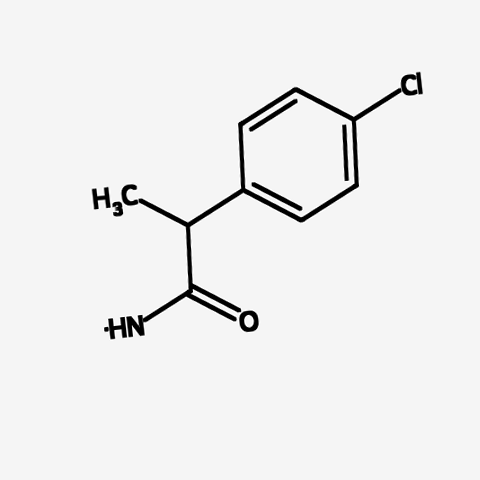 CC(C([NH])=O)c1ccc(Cl)cc1